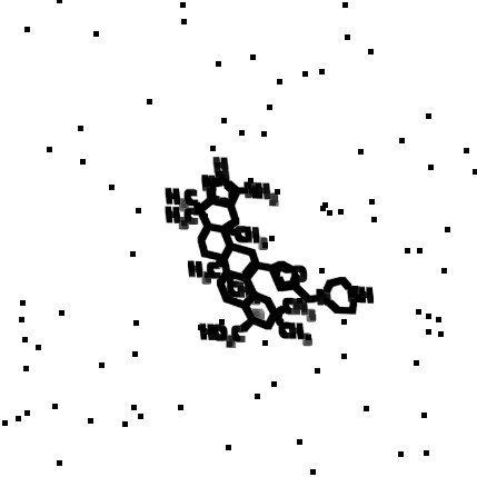 CC1(C)CC2C3=C(c4coc(CN5CCNCC5)c4)CC4C5(C)Cc6c(n[nH]c6N)C(C)(C)C5CCC4(C)C3(C)CCC2[C@H](C(=O)O)C1